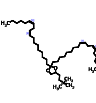 CCCCC/C=C\C/C=C\CCCCCCCCC1(CCCCCCCC/C=C\C/C=C\CCCCC)OCC(CC[N+](C)(C)C)O1